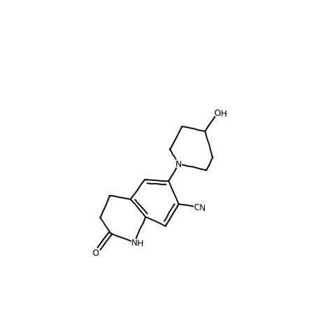 N#Cc1cc2c(cc1N1CCC(O)CC1)CCC(=O)N2